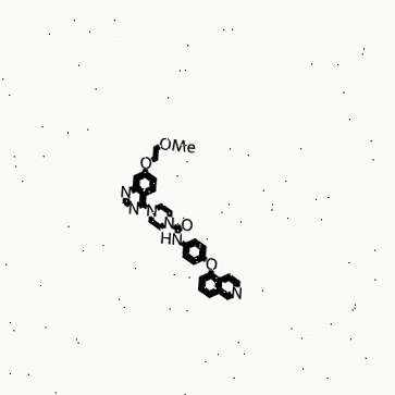 COCCOc1ccc2c(N3CCN(C(=O)Nc4ccc(Oc5cccc6cnccc56)cc4)CC3)ncnc2c1